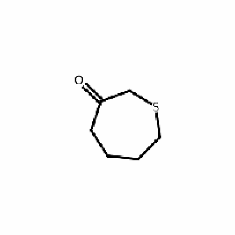 O=C1CCCCSC1